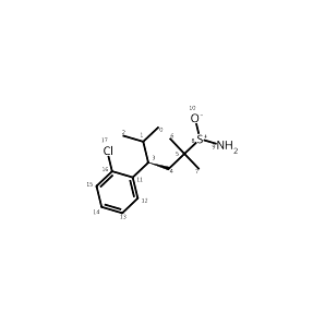 CC(C)[C@@H](CC(C)(C)[S+](N)[O-])c1ccccc1Cl